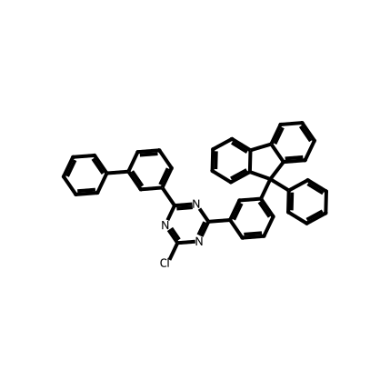 Clc1nc(-c2cccc(-c3ccccc3)c2)nc(-c2cccc(C3(c4ccccc4)c4ccccc4-c4ccccc43)c2)n1